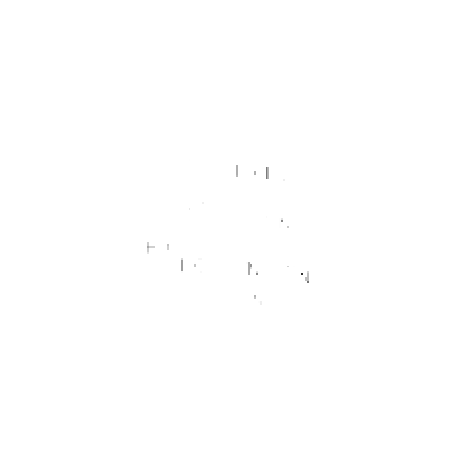 Cc1cccc(C)c1-c1c(C)nc2ncnn2c1C